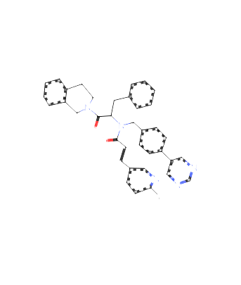 O=C(C(Cc1ccccc1)N(Cc1ccc(-c2cncnc2)cc1)C(=O)C=Cc1ccc(C(F)(F)F)nc1)N1CCc2ccccc2C1